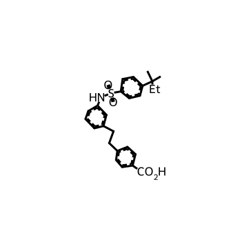 CCC(C)(C)c1ccc(S(=O)(=O)Nc2cccc(CCc3ccc(C(=O)O)cc3)c2)cc1